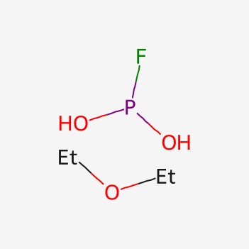 CCOCC.OP(O)F